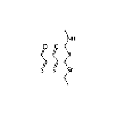 C[CH2][Sn][CH2]SCNC.O=CC=S.O=CC=S